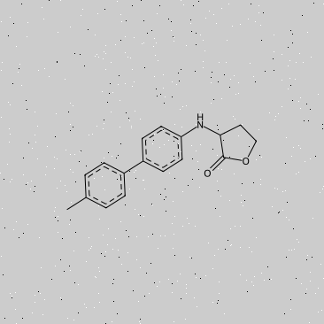 Cc1ccc(-c2ccc(NC3CCOC3=O)cc2)cc1